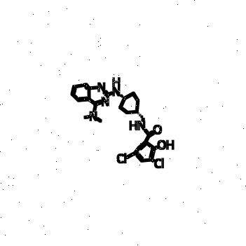 CN(C)c1nc(N[C@H]2CC[C@@H](CNC(=O)c3cc(Cl)cc(Cl)c3O)CC2)nc2ccccc12